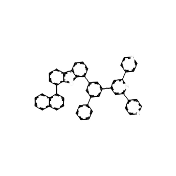 c1ccc(-c2cc(-c3cc(-c4ccncc4)nc(-c4ccncc4)c3)cc(-c3cccc4c3oc3c(-c5cccc6ccccc56)cccc34)c2)cc1